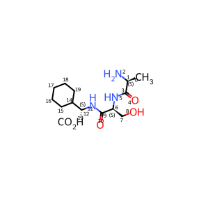 C[C@H](N)C(=O)N[C@@H](CO)C(=O)N[C@H](C(=O)O)C1CCCCC1